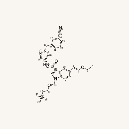 CCOC=Cc1ccc2c(c1)c(C(=O)Nc1cnn(Cc3cccc(C#N)c3)c1)nn2COCC[Si](C)(C)C